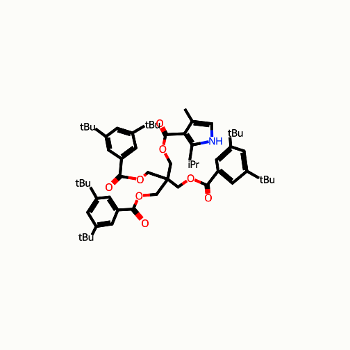 Cc1c[nH]c(C(C)C)c1C(=O)OCC(COC(=O)c1cc(C(C)(C)C)cc(C(C)(C)C)c1)(COC(=O)c1cc(C(C)(C)C)cc(C(C)(C)C)c1)COC(=O)c1cc(C(C)(C)C)cc(C(C)(C)C)c1